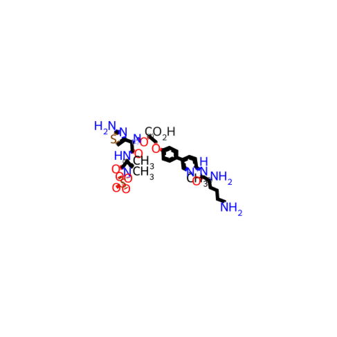 C[n+]1cc(-c2ccc(OC[C@H](O/N=C(\C(=O)N[C@@H]3C(=O)N(OS(=O)(=O)[O-])C3(C)C)c3csc(N)n3)C(=O)O)cc2)ccc1NC(=O)[C@@H](N)CCCCN